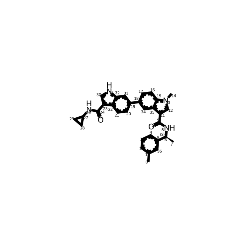 Cc1cccc([C@H](C)NC(=O)c2cn(C)c3ccc(-c4ccc5c(C(=O)NC6CC6)c[nH]c5c4)cc23)c1